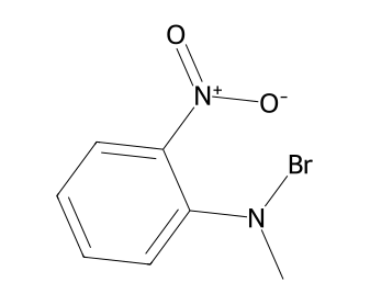 CN(Br)c1ccccc1[N+](=O)[O-]